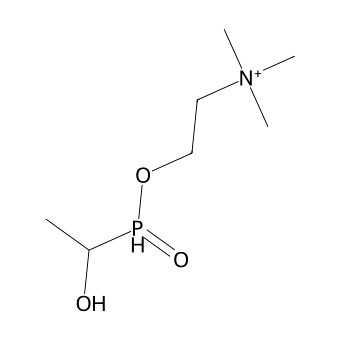 CC(O)[PH](=O)OCC[N+](C)(C)C